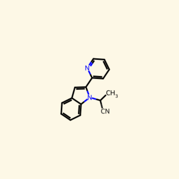 CC(C#N)n1c(-c2ccccn2)cc2ccccc21